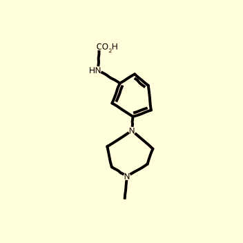 CN1CCN(c2cccc(NC(=O)O)c2)CC1